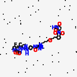 CN(c1ncccc1CNc1nc(Nc2ccc(NC(=O)c3cn(CCCCCOCCCc4cccc5c4C(=O)N(C4CCC(=O)NC4=O)C5=O)nn3)cc2)ncc1C(F)(F)F)S(C)(=O)=O